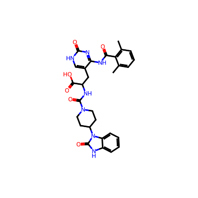 Cc1cccc(C)c1C(=O)Nc1nc(=O)[nH]cc1CC(NC(=O)N1CCC(n2c(=O)[nH]c3ccccc32)CC1)C(=O)O